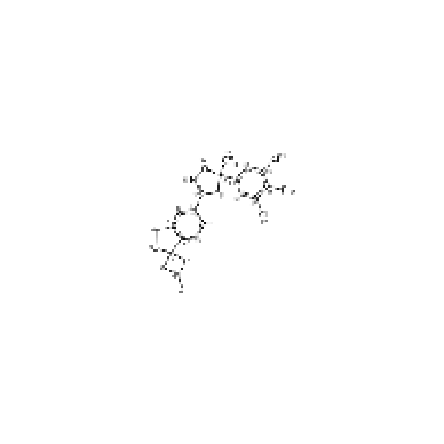 CN1CC2(C1)OCc1cc(C3=NO[C@@](c4cc(Cl)c(F)c(Cl)c4)(C(F)(F)F)C3)ccc12